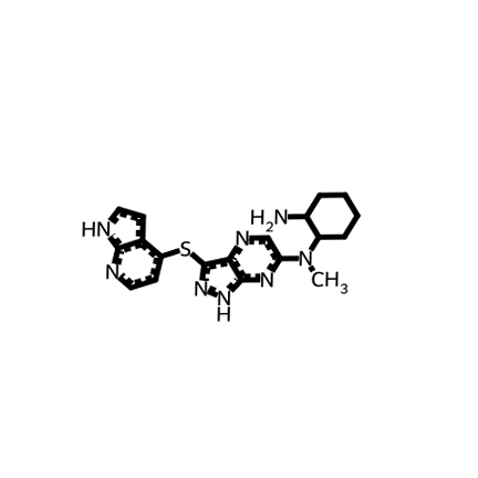 CN(c1cnc2c(Sc3ccnc4[nH]ccc34)n[nH]c2n1)C1CCCCC1N